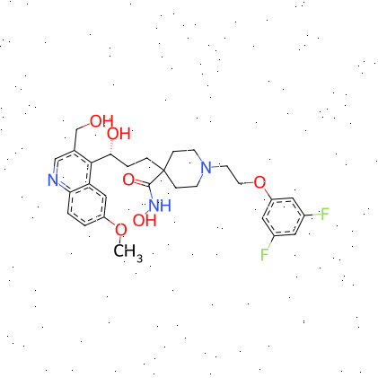 COc1ccc2ncc(CO)c([C@H](O)CCC3(C(=O)NO)CCN(CCOc4cc(F)cc(F)c4)CC3)c2c1